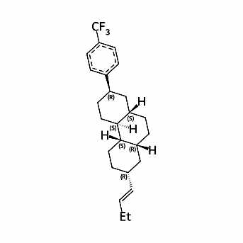 CCC=C[C@@H]1CC[C@H]2[C@H](CC[C@H]3C[C@H](c4ccc(C(F)(F)F)cc4)CC[C@@H]32)C1